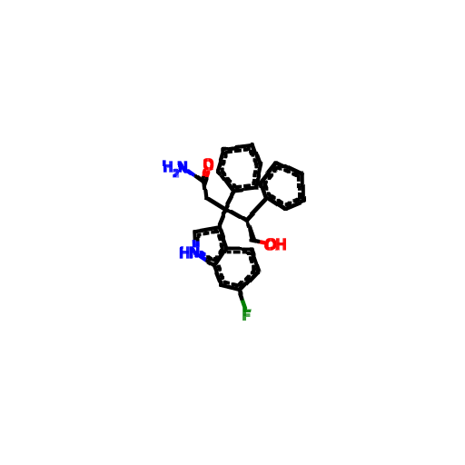 NC(=O)CC(c1ccccc1)(c1c[nH]c2cc(F)ccc12)[C@H](CO)c1ccccc1